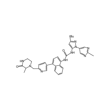 Cc1ncc(-n2nc(C(C)(C)C)cc2NC(=O)Nc2ccc(-c3ccc(CN4CCNC(=O)C4C)nc3)c3ccccc23)cn1